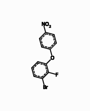 O=[N+]([O-])c1ccc(Oc2cccc(Br)c2F)cc1